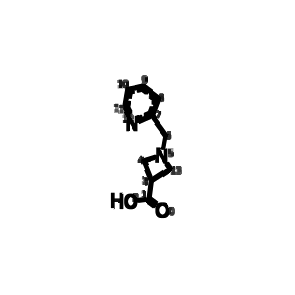 O=C(O)C1CN(Cc2ccccn2)C1